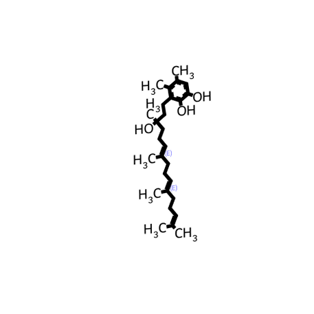 CC(C)=CCC/C(C)=C/CC/C(C)=C/CCC(C)(O)CCc1c(C)c(C)cc(O)c1O